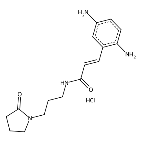 Cl.Nc1ccc(N)c(C=CC(=O)NCCCN2CCCC2=O)c1